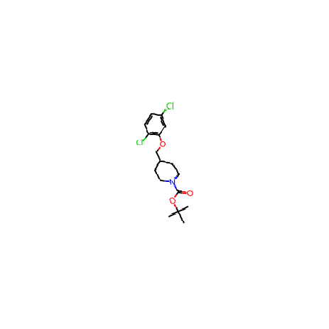 CC(C)(C)OC(=O)N1CCC(COc2cc(Cl)ccc2Cl)CC1